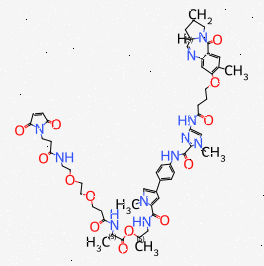 C=C1C[C@H]2C=Nc3cc(OCCCC(=O)Nc4cn(C)c(C(=O)Nc5ccc(-c6cc(C(=O)NC[C@H](C)OC(=O)[C@H](C)NC(=O)CCOCCOCCNC(=O)CCN7C(=O)C=CC7=O)n(C)c6)cc5)n4)c(C)cc3C(=O)N2C1